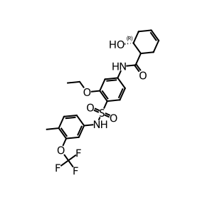 CCOc1cc(NC(=O)C2CC=CC[C@H]2O)ccc1S(=O)(=O)Nc1ccc(C)c(OC(F)(F)F)c1